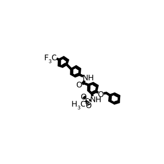 CS(=O)(=O)Nc1cc(C(=O)Nc2ccc(-c3ccc(C(F)(F)F)cc3)cc2)ccc1OCc1ccccc1